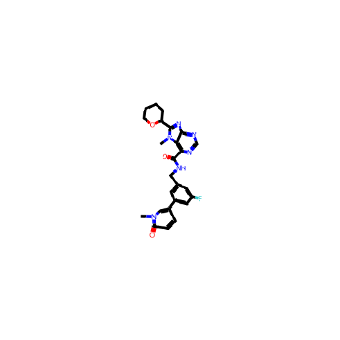 Cn1cc(-c2cc(F)cc(CNC(=O)c3ncnc4nc(C5CCCCO5)n(C)c34)c2)ccc1=O